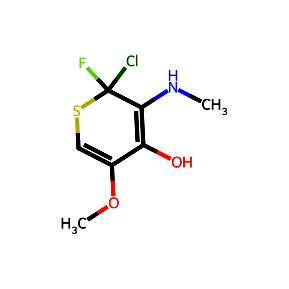 CNC1=C(O)C(OC)=CSC1(F)Cl